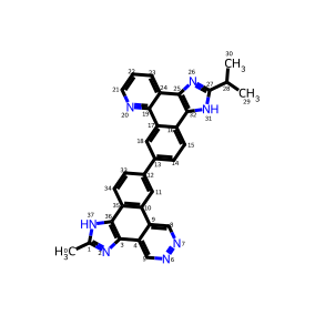 Cc1nc2c3cnncc3c3cc(-c4ccc5c(c4)c4ncccc4c4nc(C(C)C)[nH]c54)ccc3c2[nH]1